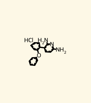 Cl.Nc1ccc(-c2ccccc2Oc2ccccc2)c(N)n1